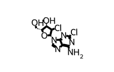 Nc1nc(Cl)nc2c1ncn2[C@@H]1O[C@H](CO)[C@H](O)C1Cl